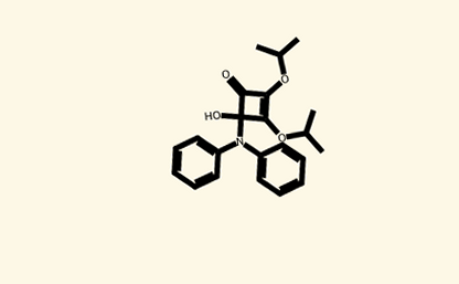 CC(C)OC1=C(OC(C)C)C(O)(N(c2ccccc2)c2ccccc2)C1=O